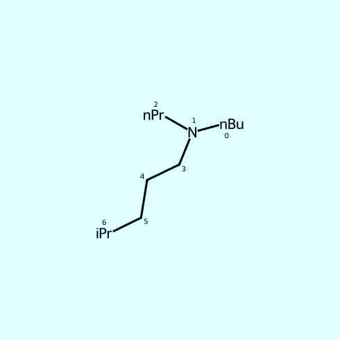 CCCCN(CCC)CCCC(C)C